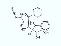 CC(N=[N+]=[N-])C(=O)C(O)(C(=O)c1ccccc1)C(O)C(O)(C(=O)c1ccccc1)C(O)CO